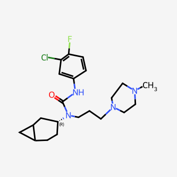 CN1CCN(CCCN(C(=O)Nc2ccc(F)c(Cl)c2)[C@@H]2CCC3CC3C2)CC1